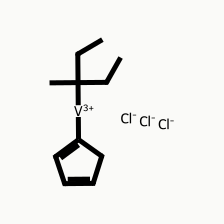 CC[C](C)(CC)[V+3][C]1=CC=CC1.[Cl-].[Cl-].[Cl-]